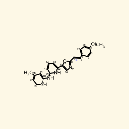 COc1ccc(/C=C/c2ncc(C3=CC=CC(NC4=CC(C)=CCN4)N3)o2)cc1